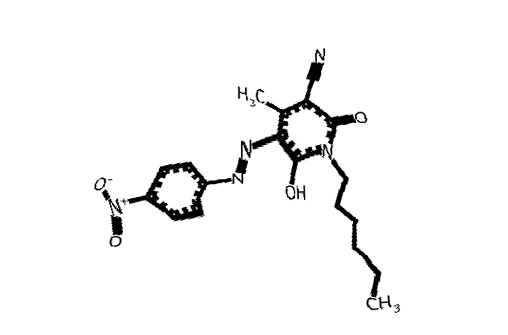 CCCCCCn1c(O)c(/N=N/c2ccc([N+](=O)[O-])cc2)c(C)c(C#N)c1=O